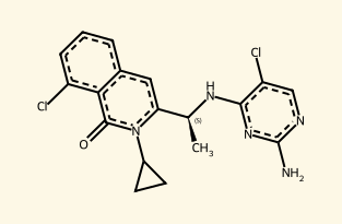 C[C@H](Nc1nc(N)ncc1Cl)c1cc2cccc(Cl)c2c(=O)n1C1CC1